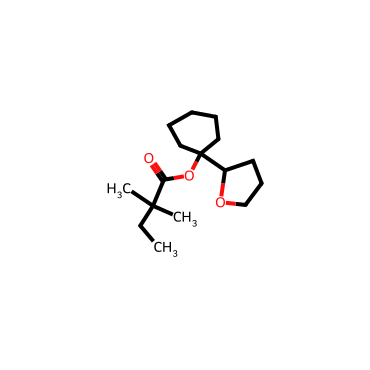 CCC(C)(C)C(=O)OC1(C2CCCO2)CCCCC1